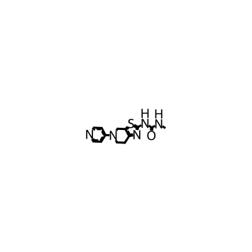 CNC(=O)Nc1nc2c(s1)CN(c1ccncc1)CC2